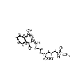 O=C([O-])N(CCCNC(=O)C(F)(F)F)CCCNc1n[n+](O)c2ccccc2[n+]1[O-]